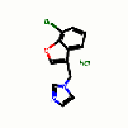 Brc1cccc2c(Cn3ccnc3)coc12.Cl